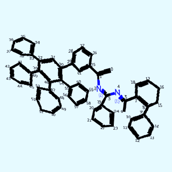 C=C(/N=C(\N=C(/C)C1=C(c2ccccc2)CCC=C1)c1ccccc1)c1cccc(-c2cc(-c3ccccc3)c(-c3ccccc3)c(C3=CC=CCC=C3)c2-c2ccccc2)c1